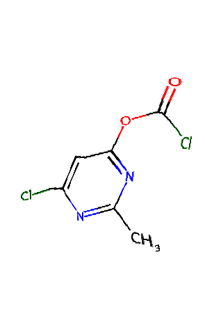 Cc1nc(Cl)cc(OC(=O)Cl)n1